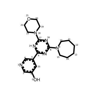 Oc1cncc(-c2nc(N3CCCCCC3)nc(N3CCOCC3)n2)c1